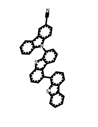 N#Cc1ccc2c(c1)c1ccccc1n2-c1cccc2c1sc1cccc(-c3cccc4c3sc3ccccc34)c12